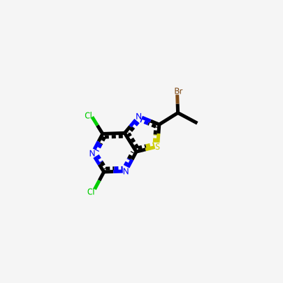 CC(Br)c1nc2c(Cl)nc(Cl)nc2s1